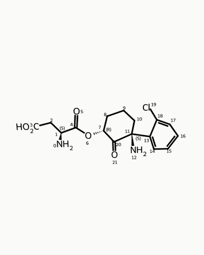 N[C@@H](CC(=O)O)C(=O)O[C@@H]1CCC[C@](N)(c2ccccc2Cl)C1=O